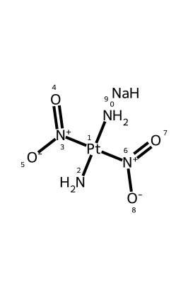 [NH2][Pt]([NH2])([N+](=O)[O-])[N+](=O)[O-].[NaH]